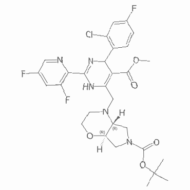 COC(=O)C1=C(CN2CCO[C@@H]3CN(C(=O)OC(C)(C)C)C[C@H]32)NC(c2ncc(F)cc2F)=NC1c1ccc(F)cc1Cl